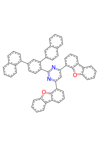 c1ccc2cc(-c3cc(-c4cccc5ccccc45)ccc3-c3nc(-c4cccc5c4oc4ccccc45)cc(-c4cccc5c4oc4ccccc45)n3)ccc2c1